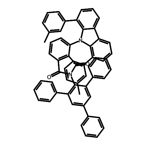 Cc1cccc(-c2cccc3c4cccc(-c5cccc(C)c5)c4n(-c4cccc5c4C(=O)N(c4c(-c6ccccc6)cc(-c6ccccc6)cc4-c4ccccc4)C5=O)c23)c1